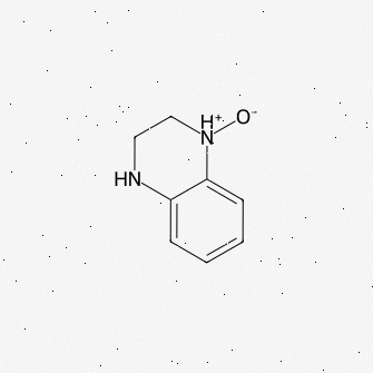 [O-][NH+]1CCNc2ccccc21